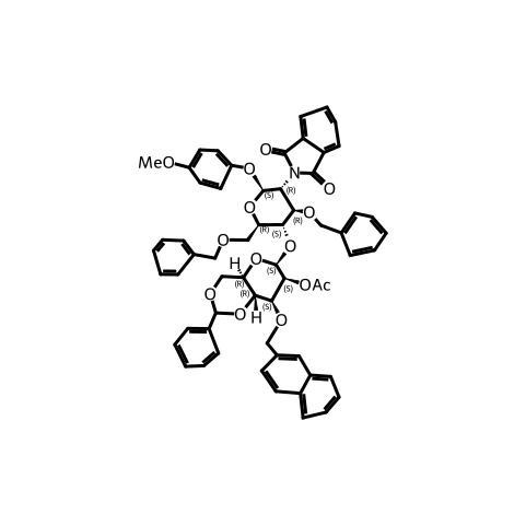 COc1ccc(O[C@@H]2O[C@H](COCc3ccccc3)[C@@H](O[C@@H]3O[C@@H]4COC(c5ccccc5)O[C@H]4[C@H](OCc4ccc5ccccc5c4)[C@@H]3OC(C)=O)[C@H](OCc3ccccc3)[C@H]2N2C(=O)c3ccccc3C2=O)cc1